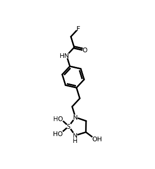 O=C(CF)Nc1ccc(CCN2CC(O)NS2(O)O)cc1